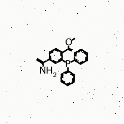 C=C(N)c1ccc(C(=C)OC)c(P(c2ccccc2)c2ccccc2)c1